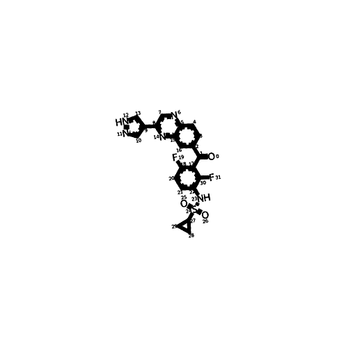 O=C(c1ccc2ncc(-c3cn[nH]c3)nc2c1)c1c(F)ccc(NS(=O)(=O)C2CC2)c1F